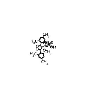 Cc1cc(C)c(C(=O)P(=O)(CCP(=O)(O)O)C(=O)c2c(C)cc(C)cc2C)c(C)c1